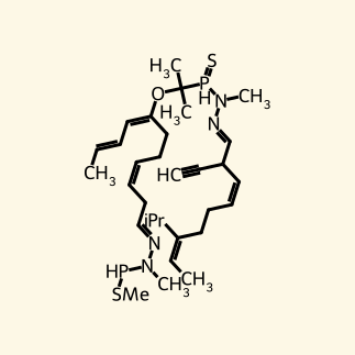 C#CC(C=NN(C)[PH](=S)C(C)(C)O/C(=C/C=C/C)CC/C=C\CC=NN(C)PSC)/C=C\CC/C(=C\C)C(C)C